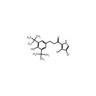 CC(C)(C)c1cc(CCC(=O)c2[nH]cc(Cl)c2Cl)cc(C(C)(C)C)c1O